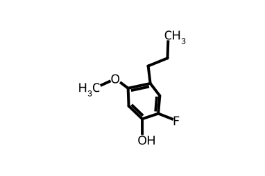 CCCc1cc(F)c(O)cc1OC